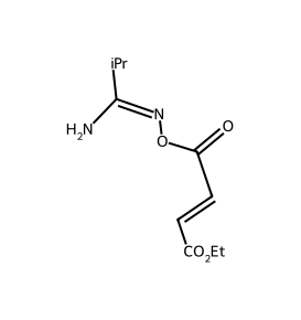 CCOC(=O)/C=C/C(=O)O/N=C(\N)C(C)C